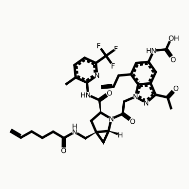 C=CCCCC(=O)NC[C@@]12C[C@@H](C(=O)Nc3nc(C(F)(F)F)ccc3C)N(C(=O)Cn3nc(C(C)=O)c4cc(NC(=O)O)cc(CC=C)c43)[C@@H]1C2